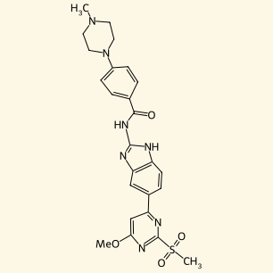 COc1cc(-c2ccc3[nH]c(NC(=O)c4ccc(N5CCN(C)CC5)cc4)nc3c2)nc(S(C)(=O)=O)n1